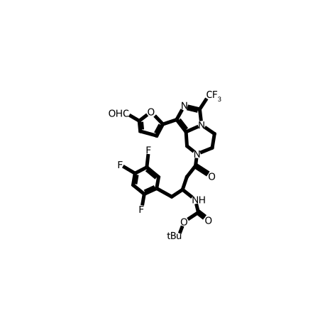 CC(C)(C)OC(=O)NC(CC(=O)N1CCn2c(C(F)(F)F)nc(-c3ccc(C=O)o3)c2C1)Cc1cc(F)c(F)cc1F